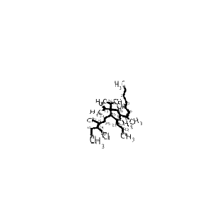 CCCCCCC(C)C(C)C(C)C(C(C)=O)(C(C)C)C(CCCC)CCC(Cl)C(Cl)CC